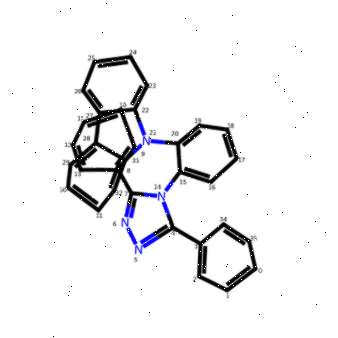 c1ccc(-c2nnc(-c3ccccc3)n2-c2ccccc2-n2c3ccccc3c3ccccc32)cc1